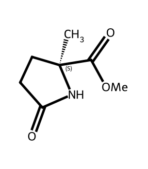 COC(=O)[C@]1(C)CCC(=O)N1